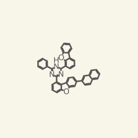 c1ccc(C2=NC(c3cccc4oc5cc(-c6ccc7ccccc7c6)ccc5c34)=NC(c3cccc4c3oc3ccccc34)N2)cc1